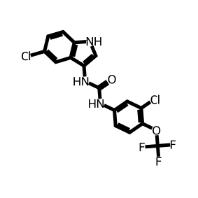 O=C(Nc1ccc(OC(F)(F)F)c(Cl)c1)Nc1c[nH]c2ccc(Cl)cc12